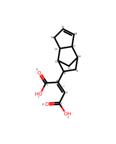 O=C(O)/C=C(\C(=O)O)C1CC2CC1C1CC=CC21